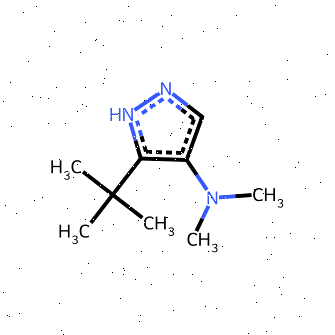 CN(C)c1cn[nH]c1C(C)(C)C